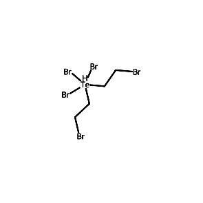 BrCC[TeH](Br)(Br)(Br)CCBr